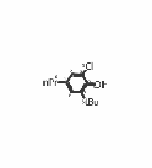 CCCc1cc(Cl)c(O)c(C(C)(C)C)c1